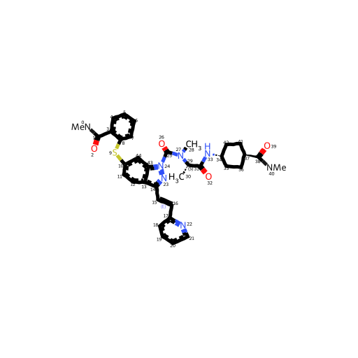 CNC(=O)c1ccccc1Sc1ccc2c(/C=C/c3ccccn3)nn(C(=O)N(C)[C@@H](C)C(=O)N[C@H]3CC[C@H](C(=O)NC)CC3)c2c1